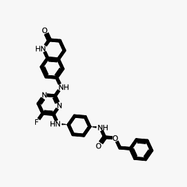 O=C1CCc2cc(Nc3ncc(F)c(N[C@H]4CC[C@@H](NC(=O)OCc5ccccc5)CC4)n3)ccc2N1